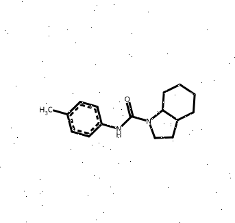 Cc1ccc(NC(=O)N2CCC3CCCCC32)cc1